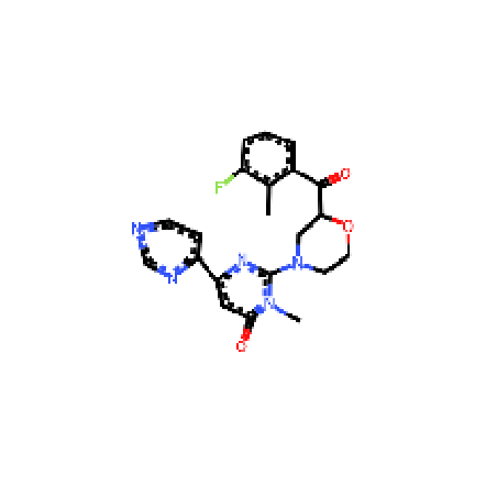 Cc1c(F)cccc1C(=O)C1CN(c2nc(-c3ccncn3)cc(=O)n2C)CCO1